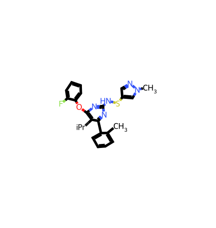 Cc1ccccc1-c1nc(NSc2cnn(C)c2)nc(Oc2ccccc2F)c1C(C)C